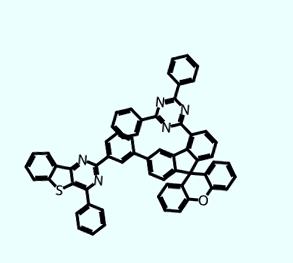 c1ccc(-c2nc(-c3ccccc3)nc(-c3cccc4c3-c3cc(-c5cccc(-c6nc(-c7ccccc7)c7sc8ccccc8c7n6)c5)ccc3C43c4ccccc4Oc4ccccc43)n2)cc1